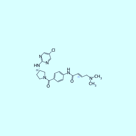 CN(C)C/C=C/C(=O)Nc1ccc(C(=O)N2CC[C@H](Nc3ncc(Cl)cn3)C2)cc1